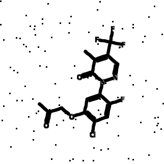 CC(=O)COc1cc(-n2ncc(C(F)(F)F)c(C)c2=O)c(F)cc1Cl